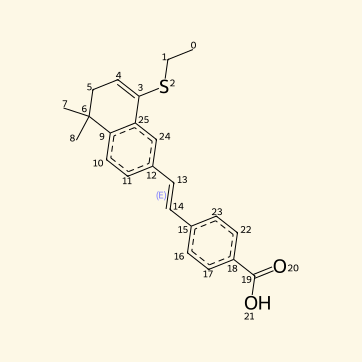 CCSC1=CCC(C)(C)c2ccc(/C=C/c3ccc(C(=O)O)cc3)cc21